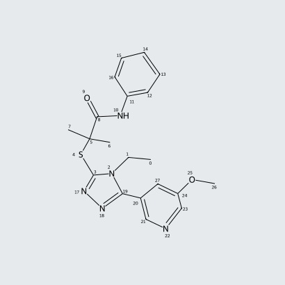 CCn1c(SC(C)(C)C(=O)Nc2ccccc2)nnc1-c1cncc(OC)c1